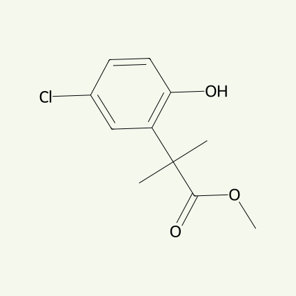 COC(=O)C(C)(C)c1cc(Cl)ccc1O